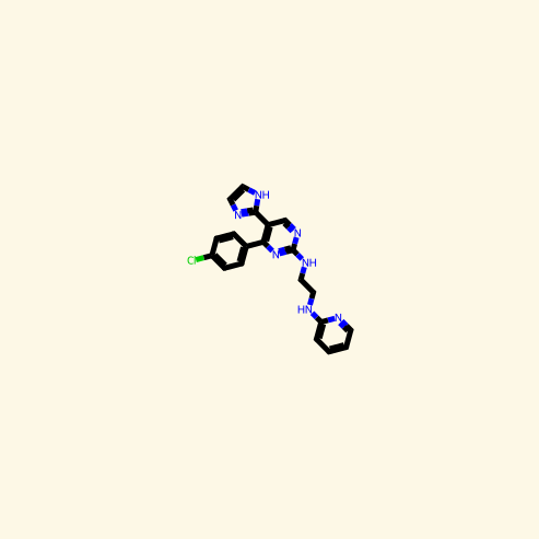 Clc1ccc(-c2nc(NCCNc3ccccn3)ncc2-c2ncc[nH]2)cc1